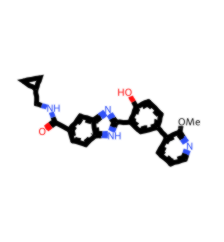 COc1ncccc1-c1ccc(O)c(-c2nc3cc(C(=O)NCC4CC4)ccc3[nH]2)c1